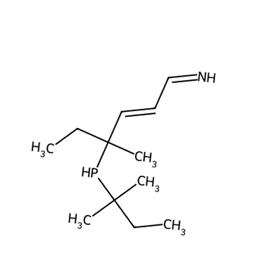 CCC(C)(C)PC(C)(/C=C/C=N)CC